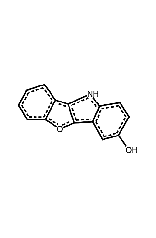 Oc1ccc2[nH]c3c4ccccc4oc3c2c1